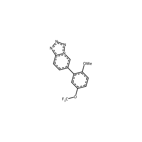 COc1ccc(OC(F)(F)F)cc1-c1ccc2nnnn2c1